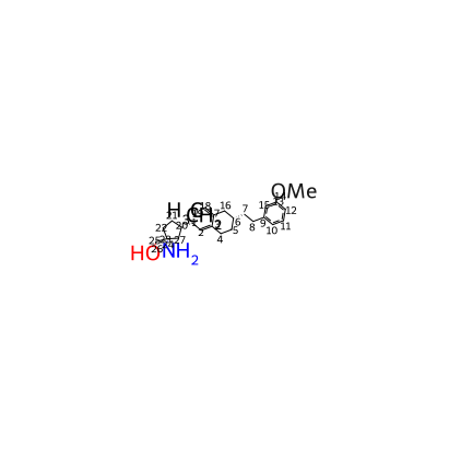 C=C(/C=C1/CC[C@@H](CCc2cccc(OC)c2)C/C1=C/C)[C@H]1CC[C@](N)(CO)C1